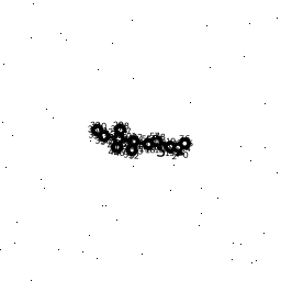 CC1(C)c2ccccc2-c2cc3c(cc21)sc1c2ccc(-c4ccc(-c5c6ccccc6c(-c6ccc7ccccc7c6)c6ccccc56)c5ccccc45)cc2ccc31